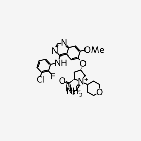 COc1cc2ncnc(Nc3cccc(Cl)c3F)c2cc1O[C@H]1C[C@H](C(N)=O)[N+](C)(C2CCOCC2)C1